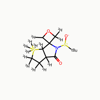 [2H]C1OC([2H])([2H])C12N([S+]([O-])C(C)(C)C)C(=O)C1([2H])C([2H])([2H])C([2H])([2H])S([2H])([2H])([2H])([2H])C12[2H]